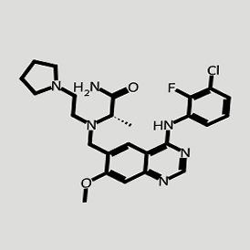 COc1cc2ncnc(Nc3cccc(Cl)c3F)c2cc1CN(CCN1CCCC1)[C@@H](C)C(N)=O